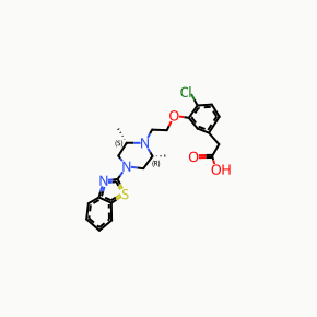 C[C@@H]1CN(c2nc3ccccc3s2)C[C@H](C)N1CCOc1cc(CC(=O)O)ccc1Cl